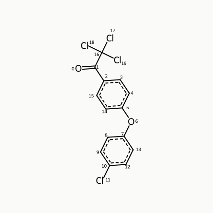 O=C(c1ccc(Oc2ccc(Cl)cc2)cc1)C(Cl)(Cl)Cl